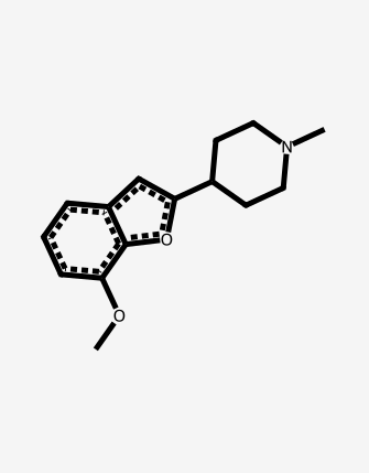 COc1cccc2cc(C3CCN(C)CC3)oc12